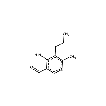 CCCc1c(C)ncc(C=O)c1N